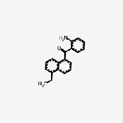 CCc1cccc2c(C(=O)c3ccccc3N)cccc12